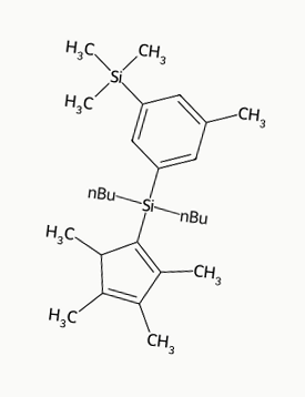 CCCC[Si](CCCC)(C1=C(C)C(C)=C(C)C1C)c1cc(C)cc([Si](C)(C)C)c1